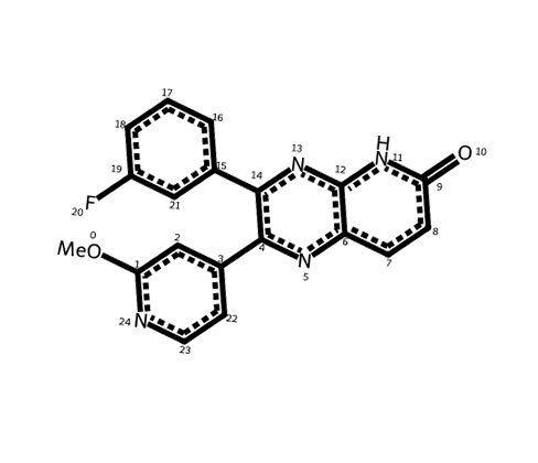 COc1cc(-c2nc3ccc(=O)[nH]c3nc2-c2cccc(F)c2)ccn1